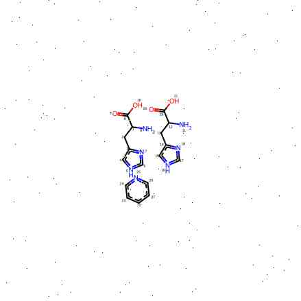 NC(Cc1c[nH]cn1)C(=O)O.NC(Cc1c[nH]cn1)C(=O)O.c1ccncc1